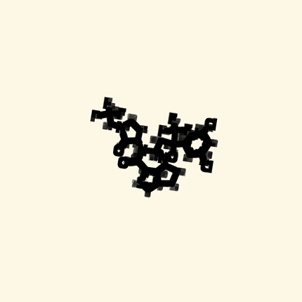 O=C1C(N(C(=O)c2scc3c2CCC3)C2=NOC(c3cc(Cl)cc(Cl)c3)(C(F)(F)F)C2)CCN1CC(F)(F)F